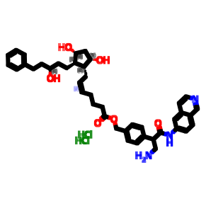 Cl.Cl.NCC(C(=O)Nc1ccc2cnccc2c1)c1ccc(COC(=O)CCC/C=C\C[C@@H]2[C@@H](CC[C@@H](O)CCc3ccccc3)[C@H](O)C[C@@H]2O)cc1